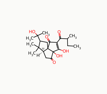 CCC(C)C(=O)C1=C(O)C2(O)C(=O)C[C@H]3C(C)(C)C(C(C)(C)O)CC32C1=O